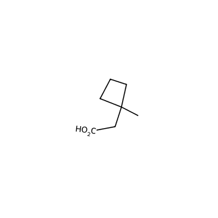 CC1(CC(=O)O)CCC1